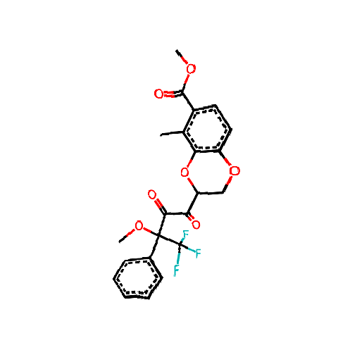 COC(=O)c1ccc2c(c1C)OC(C(=O)C(=O)C(OC)(c1ccccc1)C(F)(F)F)CO2